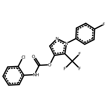 O=C(Nc1ccccc1Cl)Oc1cnn(-c2ccc(F)cc2)c1C(F)(F)F